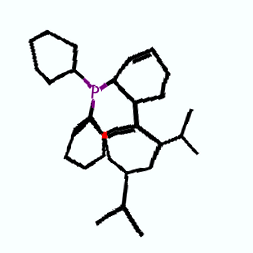 CC(C)C1=C(C2CCC=CC2P(C2CCCCC2)C2CCCCC2)C(C(C)C)CC(C(C)C)C1